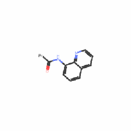 CC(C)C(=O)Nc1cccc2cccnc12